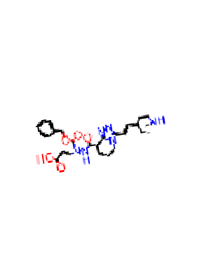 O=C(O)CCN(NC(=O)C1CCCn2c(C=CC3CCNCC3)nnc21)C(=O)OCc1ccccc1